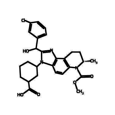 COC(=O)N1c2ccc3c(nc(C(O)c4cccc(Cl)c4)n3C3CCCC(C(=O)O)C3)c2CC[C@@H]1C